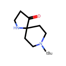 CC(C)(C)N1CCC2(CC1)NCCC2=O